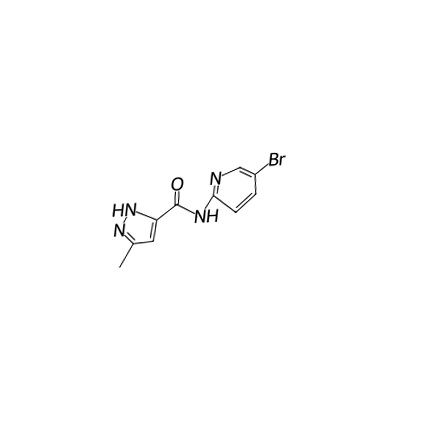 Cc1cc(C(=O)Nc2ccc(Br)cn2)[nH]n1